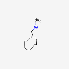 CC(=O)NNCC1CCCCC1